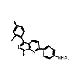 CC(=O)Nc1ccc(-c2ccc3c(-c4ccc(C)cc4C)n[nH]c3n2)cc1